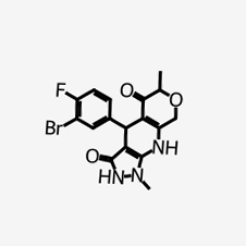 CC1OCC2=C(C1=O)C(c1ccc(F)c(Br)c1)c1c(n(C)[nH]c1=O)N2